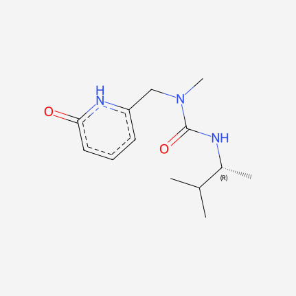 CC(C)[C@@H](C)NC(=O)N(C)Cc1cccc(=O)[nH]1